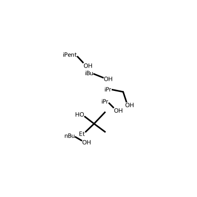 CC(C)CO.CC(C)O.CCC(C)(C)O.CCC(C)O.CCCC(C)O.CCCCO